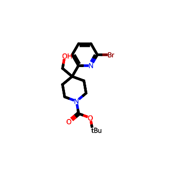 CC(C)(C)OC(=O)N1CCC(CO)(c2cccc(Br)n2)CC1